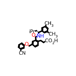 Cc1cc(C)cc([C@@H](CC(C)C)NC(=O)c2cc(COc3cccc(C#N)c3)ccc2CCC(=O)O)c1